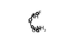 Nc1ccccc1NC(=O)c1ccc(CCCN2CCC(CN[C@H]3C[C@@H]3c3ccc(F)cc3)CC2)cc1